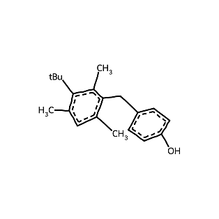 Cc1cc(C)c(C(C)(C)C)c(C)c1Cc1ccc(O)cc1